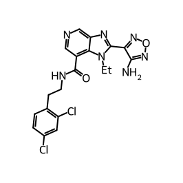 CCn1c(-c2nonc2N)nc2cncc(C(=O)NCCc3ccc(Cl)cc3Cl)c21